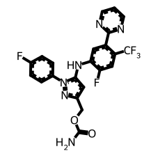 NC(=O)OCc1cc(Nc2cc(-c3ncccn3)c(C(F)(F)F)cc2F)n(-c2ccc(F)cc2)n1